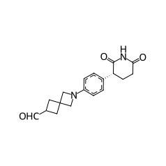 O=CC1CC2(C1)CN(c1ccc([C@H]3CCC(=O)NC3=O)cc1)C2